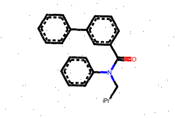 CC(C)CN(C(=O)c1cccc(-c2ccccc2)c1)c1ccccc1